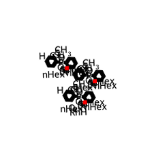 CCCCCC[Si](CCCCCC)(CCCCCC)O[PH](O[SiH](C)C)(c1ccccc1)c1ccccc1CC.CCCCCC[Si](CCCCCC)(CCCCCC)O[PH](O[SiH](C)C)(c1ccccc1)c1ccccc1CC.CCCCCC[Si](CCCCCC)(CCCCCC)O[PH](O[SiH](C)C)(c1ccccc1)c1ccccc1CC.[C]=O.[RhH]